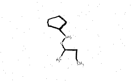 CCC(C)O[SiH2]C1CCCC1